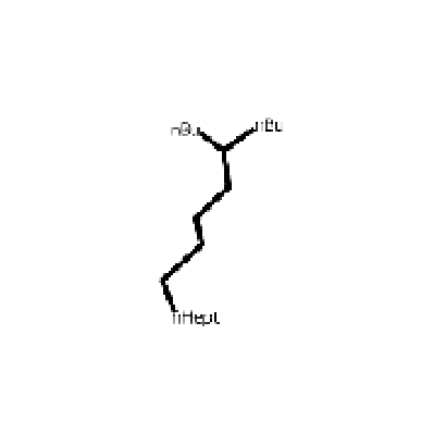 CCCCCCCCCCCC(CCCC)CCCC